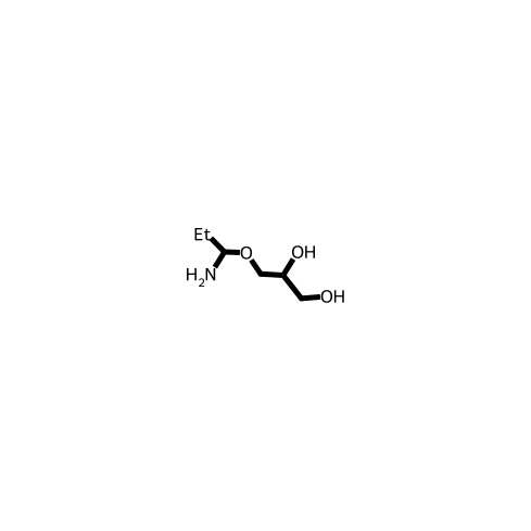 CCC(N)OCC(O)CO